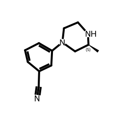 C[C@H]1CN(c2cccc(C#N)c2)CCN1